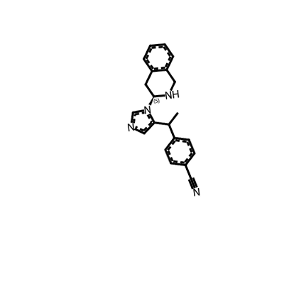 CC(c1ccc(C#N)cc1)c1cncn1[C@H]1Cc2ccccc2CN1